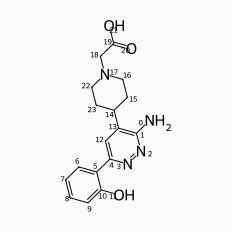 Nc1nnc(-c2ccccc2O)cc1C1CCN(CC(=O)O)CC1